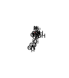 O=C1CCCN1C(=O)Oc1ccc(C2OP(=O)(O)C(O)(Cc3cccnc3)P(=O)(O)O2)cc1